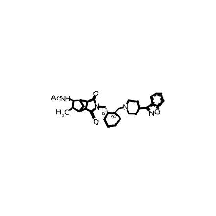 CC(=O)NC1C(C)C2CC1C1C(=O)N(C[C@H]3CCCC[C@@H]3CN3CCC(c4noc5ccccc45)CC3)C(=O)C21